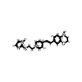 CN1CCOc2cc(/C=C/c3cc[n+](CCSc4nccn4C)cc3)ccc21